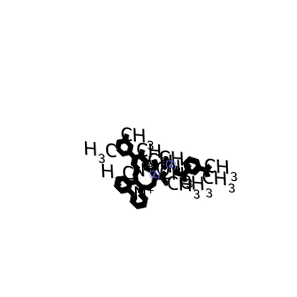 C=C(O/C(C)=N\CC(C)c1cccc(C(C)C)c1)/C1=C(\C(C)CC)CCC2C(C(=C)[n+]3cc(C4CC(C)CC(C)C4)c(C)cc31)c1ccccc1-c1cccc[n+]12